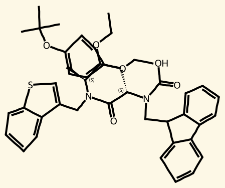 CCOC(OCC)[C@H](C)N(Cc1csc2ccccc12)C(=O)[C@H](Cc1ccc(OC(C)(C)C)cc1)N(CC1c2ccccc2-c2ccccc21)C(=O)O